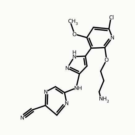 COc1cc(Cl)nc(OCCCN)c1-c1cc(Nc2cnc(C#N)cn2)n[nH]1